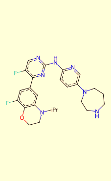 CC(C)N1CCOc2c(F)cc(-c3nc(Nc4ccc(N5CCCNCC5)cn4)ncc3F)cc21